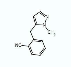 Cn1nccc1Cc1ccccc1C#N